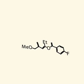 C=C(/C=C(\CC)OC(=C)c1ccc(F)cc1)COC